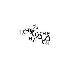 CC(C(=O)NC(C)(C)C)[C@H]1C[C@]2(C)C[C@H](c3ccnc4ccc(F)cc34)C[C@]2(C)C1